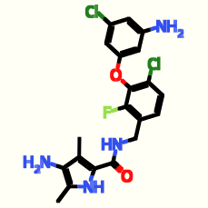 Cc1[nH]c(C(=O)NCc2ccc(Cl)c(Oc3cc(N)cc(Cl)c3)c2F)c(C)c1N